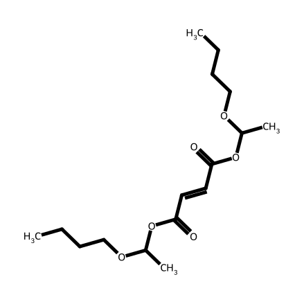 CCCCOC(C)OC(=O)C=CC(=O)OC(C)OCCCC